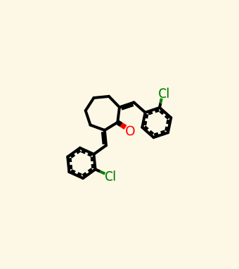 O=C1/C(=C\c2ccccc2Cl)CCCC/C1=C\c1ccccc1Cl